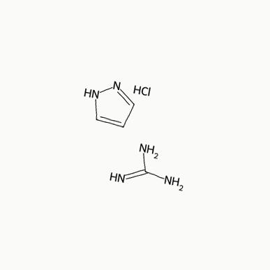 Cl.N=C(N)N.c1cn[nH]c1